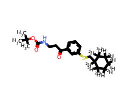 [2H]C1([2H])C([2H])([2H])C([2H])([2H])C([2H])(CSc2cccc(C(=O)CCNC(=O)OC(C)(C)C)c2)C([2H])([2H])C1([2H])[2H]